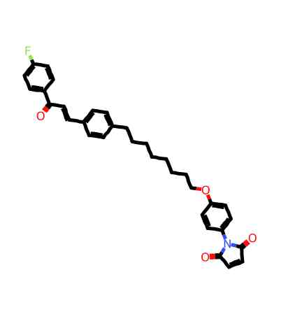 O=C(C=Cc1ccc(CCCCCCCCOc2ccc(N3C(=O)C=CC3=O)cc2)cc1)c1ccc(F)cc1